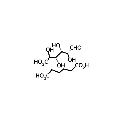 O=C(O)CCCCC(=O)O.O=C[C@H](O)[C@@H](O)[C@H](O)[C@H](O)C(=O)O